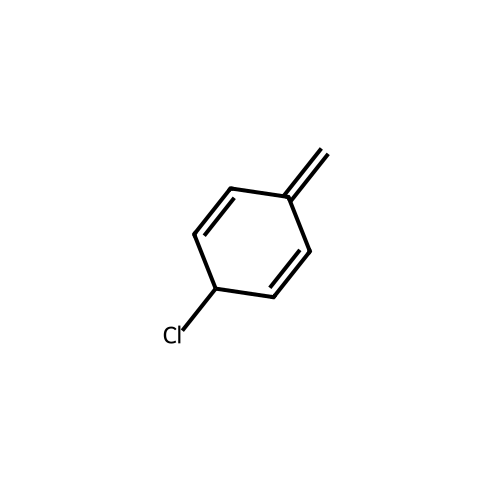 C=C1C=CC(Cl)C=C1